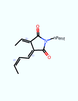 C\C=C/C=C1/C(=O)N(CCCCC)C(=O)/C1=C/C